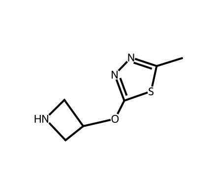 Cc1nnc(OC2CNC2)s1